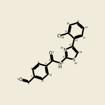 O=Cc1ccc(C(=O)Nc2nc(-c3ccccc3Cl)cs2)cc1